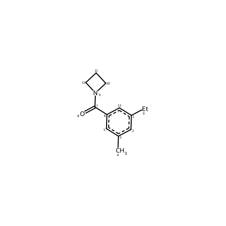 CCc1cc(C)cc(C(=O)N2CCC2)c1